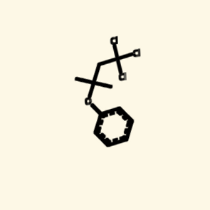 CC(C)(CC(Cl)(Cl)Cl)Oc1ccccc1